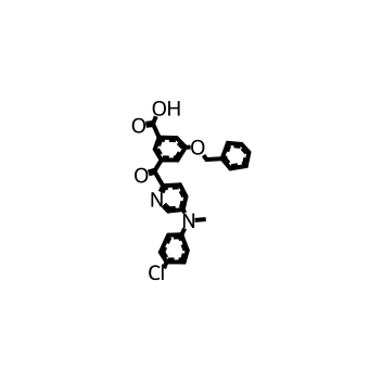 CN(c1ccc(Cl)cc1)c1ccc(C(=O)c2cc(OCc3ccccc3)cc(C(=O)O)c2)nc1